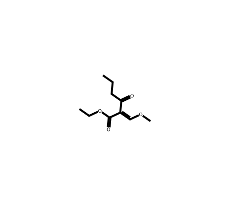 CCCC(=O)/C(=C\OC)C(=O)OCC